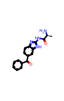 C[C@H](N)C(=O)Nc1nc2ccc(C(=O)c3ccccc3)cc2[nH]1